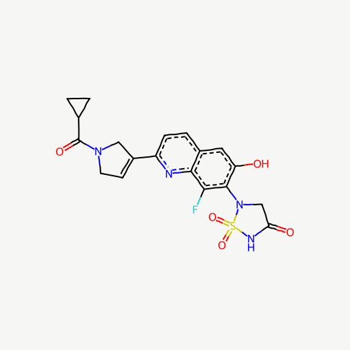 O=C1CN(c2c(O)cc3ccc(C4=CCN(C(=O)C5CC5)C4)nc3c2F)S(=O)(=O)N1